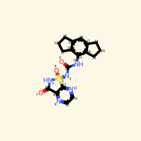 O=C(N=S1(=O)NC(=O)c2nccnc21)Nc1c2c(cc3c1CCC3)CCC2